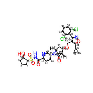 O=C(NS(=O)(=O)[C@@H]1CCC[C@H]1O)c1ccc(N2C(=O)[C@@H]3C[C@H]2C[C@H]3OCc2c(-c3c(Cl)cccc3Cl)noc2C2CC2)cn1